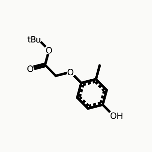 Cc1cc(O)ccc1OCC(=O)OC(C)(C)C